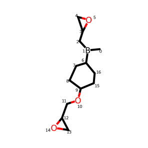 CB(CC1CO1)C1CCC(OCC2CO2)CC1